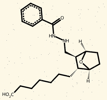 O=C(O)CCCCCC[C@@H]1[C@@H](CNNC(=O)c2ccccc2)[C@H]2CC[C@@H]1O2